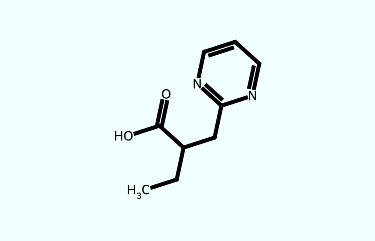 CCC(Cc1ncccn1)C(=O)O